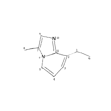 CCc1cccn2c(C)cnc12